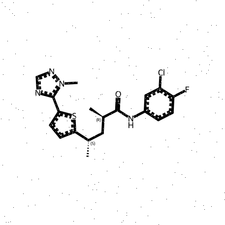 C[C@H](C[C@H](C)c1ccc(-c2ncnn2C)s1)C(=O)Nc1ccc(F)c(Cl)c1